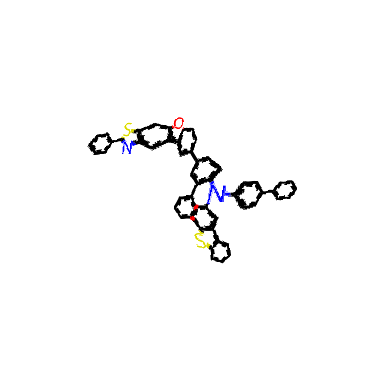 c1ccc(-c2ccc(N(c3ccc4sc5ccccc5c4c3)c3ccc(-c4ccc5oc6cc7sc(-c8ccccc8)nc7cc6c5c4)cc3-c3ccccc3)cc2)cc1